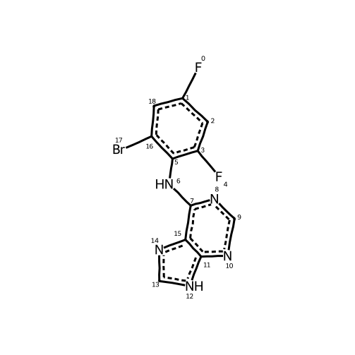 Fc1cc(F)c(Nc2ncnc3[nH]cnc23)c(Br)c1